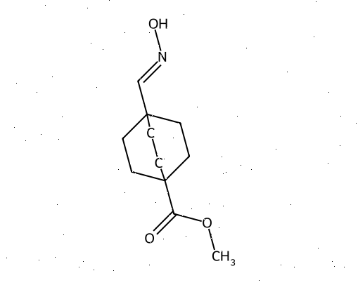 COC(=O)C12CCC(/C=N/O)(CC1)CC2